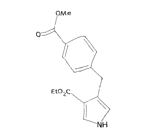 CCOC(=O)c1c[nH]cc1Cc1ccc(C(=O)OC)cc1